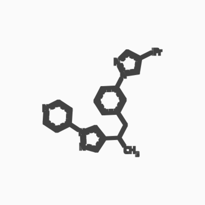 CC(C)c1cnn(-c2cccc(CC(C)c3cnn(-c4ccncc4)c3)c2)c1